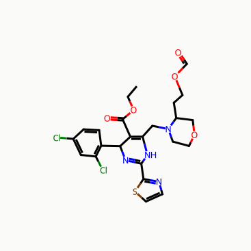 CCOC(=O)C1=C(CN2CCOCC2CCOC=O)NC(c2nccs2)=NC1c1ccc(Cl)cc1Cl